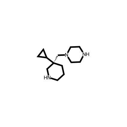 C1CNC[C@@](CN2CCNCC2)(C2CC2)C1